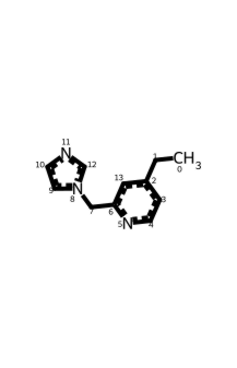 CCc1ccnc(Cn2ccnc2)c1